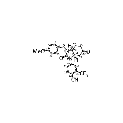 COc1ccc(CN2C(=O)N(c3ccc(C#N)c(C(F)(F)F)c3)[C@H]3CC(=O)CC[C@@H]32)cc1